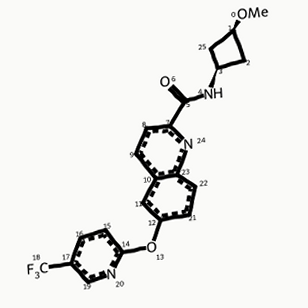 CO[C@H]1C[C@@H](NC(=O)c2ccc3cc(Oc4ccc(C(F)(F)F)cn4)ccc3n2)C1